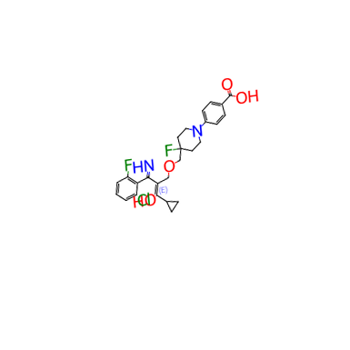 N=C(/C(COCC1(F)CCN(c2ccc(C(=O)O)cc2)CC1)=C(\O)C1CC1)c1c(F)cccc1Cl